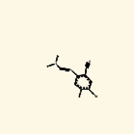 Cc1cc(N=CN(C)C)c(C#N)cc1Br